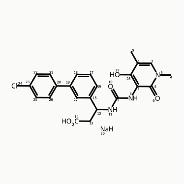 Cc1cn(C)c(=O)c(NC(=O)NC(CC(=O)O)c2cccc(-c3ccc(Cl)cc3)c2)c1O.[NaH]